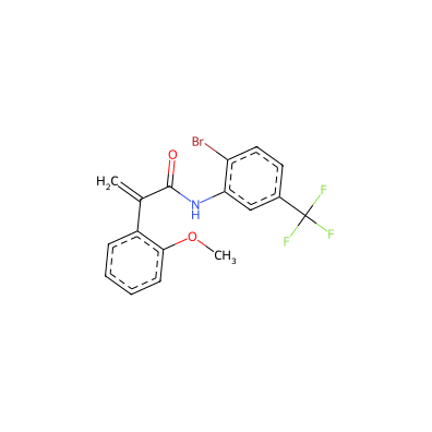 C=C(C(=O)Nc1cc(C(F)(F)F)ccc1Br)c1ccccc1OC